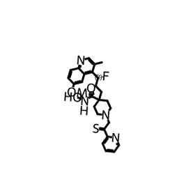 COc1ccc2ncc(C)c([C@H](F)CCC3(C(=O)NO)CCN(CC(=S)c4ccccn4)CC3)c2c1